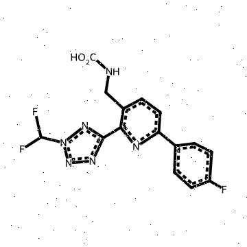 O=C(O)NCc1ccc(-c2ccc(F)cc2)nc1-c1nnn(C(F)F)n1